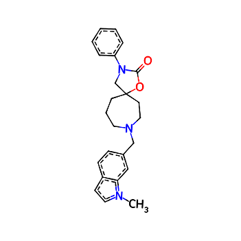 Cn1ccc2ccc(CN3CCCC4(CC3)CN(c3ccccc3)C(=O)O4)cc21